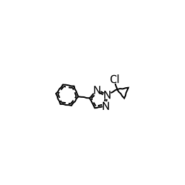 ClC1(n2ncc(-c3ccccc3)n2)CC1